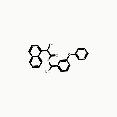 CCC(C(=O)OC(C#N)c1cccc(Oc2ccccc2)c1)c1cccc2ccccc12